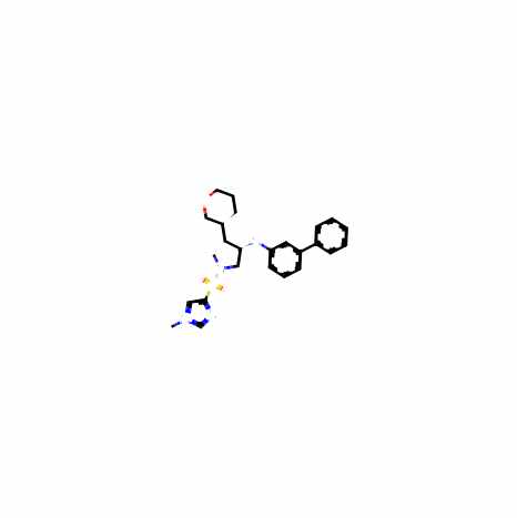 Cn1cnc(S(=O)(=O)N2C[C@H]([C@@H]3CCCOC3)[C@@H](Nc3cccc(-c4ccccc4)c3)C2)c1